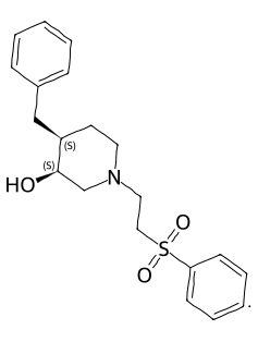 O=S(=O)(CCN1CC[C@H](Cc2ccccc2)[C@H](O)C1)c1cc[c]cc1